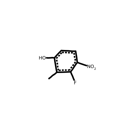 Cc1c(O)ccc([N+](=O)[O-])c1F